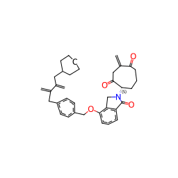 C=C(Cc1ccc(COc2cccc3c2CN([C@H]2CCCC(=O)C(=C)CC2=O)C3=O)cc1)C(=C)CC1CCCCC1